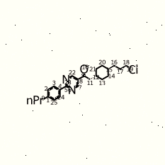 CCCc1ccc(-c2ncc(C(=O)C[C@H]3CC[C@H](CCCCl)CC3)cn2)cc1